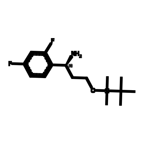 CC(C)(C)[Si](C)(C)OCC[C@H](N)c1ccc(F)cc1F